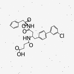 O=C(O)CCC(=O)NC(CC(=O)NS(=O)(=O)Cc1ccccc1)Cc1ccc(-c2cccc(Cl)c2)cc1